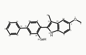 COc1ccc2[nH]c(-c3ccc(-c4ccccc4)cc3[SeH])c(C)c2c1